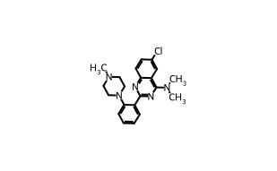 CN1CCN(c2ccccc2-c2nc(N(C)C)c3cc(Cl)ccc3n2)CC1